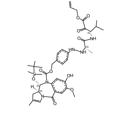 C=CCOC(=O)C(=O)[C@@H](NC(=O)[C@H](C)NNc1ccc(COC(=O)N2c3cc(O)c(OC)cc3C(=O)N3C=C(C)C[C@H]3[C@@H]2O[Si](C)(C)C(C)(C)C)cc1)C(C)C